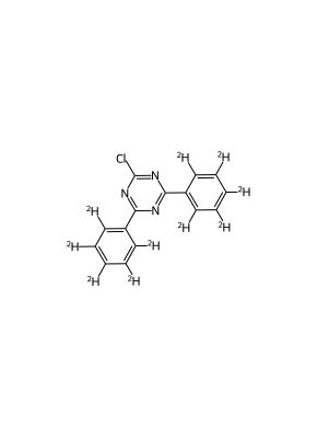 [2H]c1c([2H])c([2H])c(-c2nc(Cl)nc(-c3c([2H])c([2H])c([2H])c([2H])c3[2H])n2)c([2H])c1[2H]